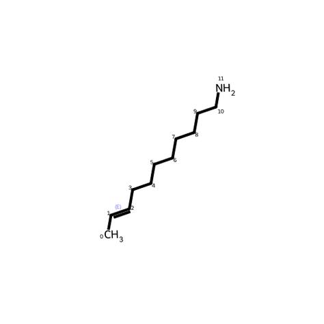 C/C=C/CCCCCCCCN